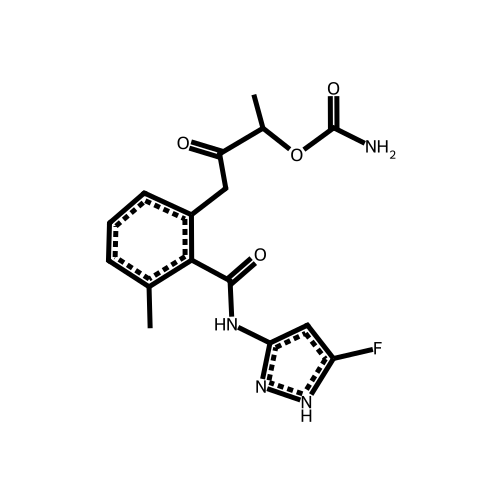 Cc1cccc(CC(=O)C(C)OC(N)=O)c1C(=O)Nc1cc(F)[nH]n1